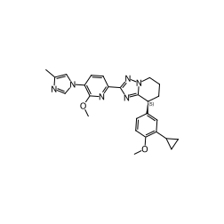 COc1ccc([C@@H]2CCCn3nc(-c4ccc(-n5cnc(C)c5)c(OC)n4)nc32)cc1C1CC1